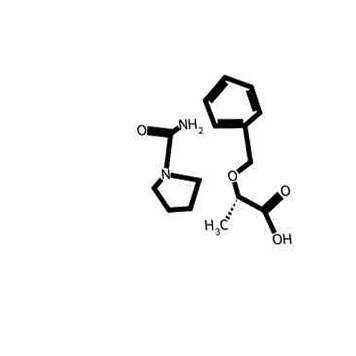 C[C@H](OCc1ccccc1)C(=O)O.NC(=O)N1CCCC1